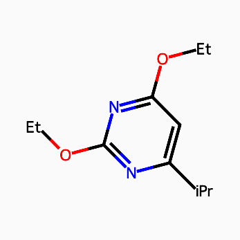 CCOc1cc(C(C)C)nc(OCC)n1